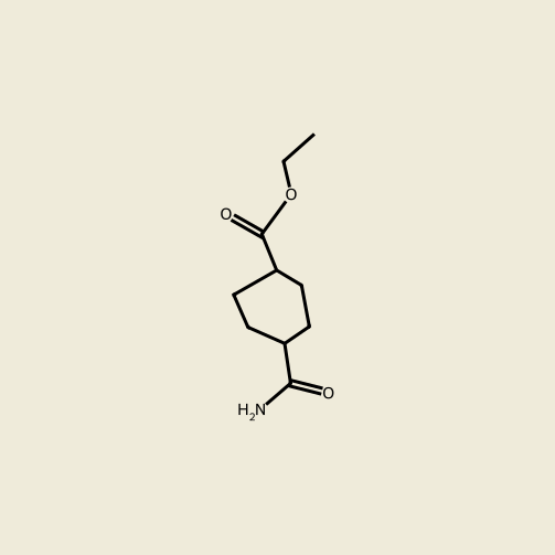 CCOC(=O)C1CCC(C(N)=O)CC1